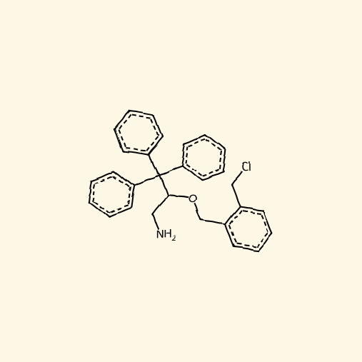 NCC(OCc1ccccc1CCl)C(c1ccccc1)(c1ccccc1)c1ccccc1